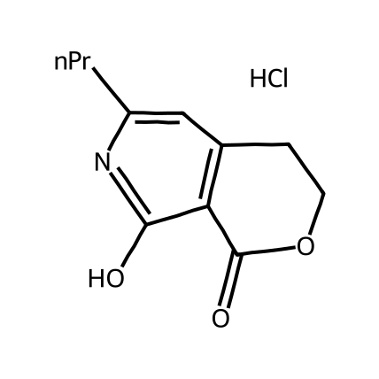 CCCc1cc2c(c(O)n1)C(=O)OCC2.Cl